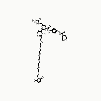 CC(C)C(NC(=O)CCOCCOCCOCCOCCOCCOCCN1C(=O)C=CC1=O)C(=O)N[C@@H](CCCNC(N)=O)C(=O)Nc1ccc(COC(=O)N2CCNCC2)cc1